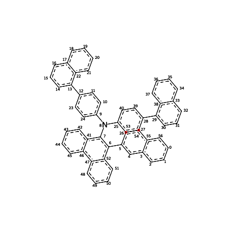 c1ccc2cc(-c3c(N(c4ccc(-c5cccc6ccccc56)cc4)c4ccc(-c5cccc6ccccc56)cc4)c4ccccc4c4ccccc34)ccc2c1